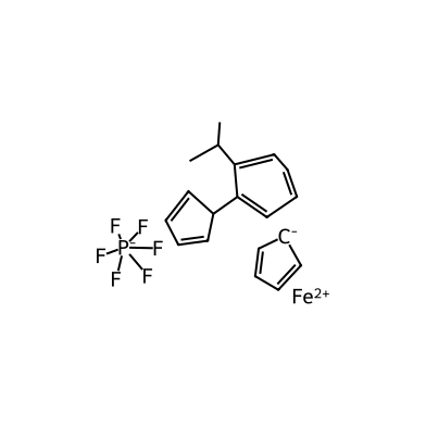 CC(C)c1ccccc1C1C=CC=C1.F[P-](F)(F)(F)(F)F.[Fe+2].c1cc[cH-]c1